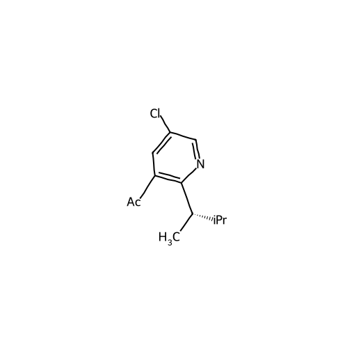 CC(=O)c1cc(Cl)cnc1[C@@H](C)C(C)C